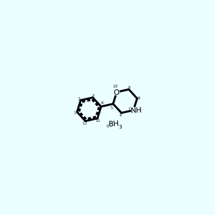 B.c1ccc(C2CNCCO2)cc1